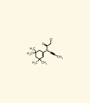 CC#CN(C(=O)CCl)C1=CC(C)(C)CC(C)(C)C1